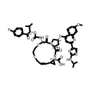 COc1ccc2c(O[C@@H]3C[C@H]4C(=O)N[C@]5(C(=O)O)CC5/C=C\CCCCC[C@H](NC(=O)O[C@H](C(=O)c5ccc(F)cc5)C(C)C)C(=O)N4C3)cc(-c3csc(NC(C)C)n3)nc2c1